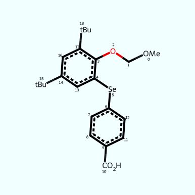 COCOc1c([Se]c2ccc(C(=O)O)cc2)cc(C(C)(C)C)cc1C(C)(C)C